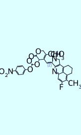 Cc1c(F)cc2nc3c(c4c2c1CCC4)CN(C)/C3=C\C1=C(C=O)COC(=O)C1OC(=O)Oc1ccc([N+](=O)[O-])cc1